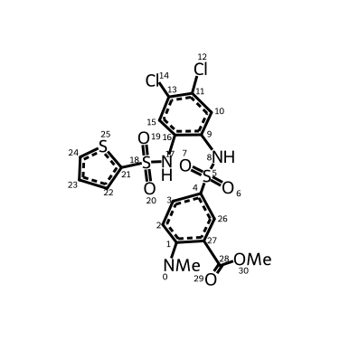 CNc1ccc(S(=O)(=O)Nc2cc(Cl)c(Cl)cc2NS(=O)(=O)c2cccs2)cc1C(=O)OC